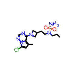 CCCN(CCC1CN(c2ncnn3c(Cl)cc(C)c23)C1)S(N)(=O)=O